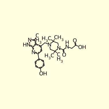 Cc1n[nH]c2nc(-c3ccc(O)cc3)cc(CN3CC(C)(C)N(C(=O)NCC(=O)O)CC3(C)C)c12